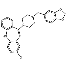 Clc1ccc2c(c1)N=C(N1CCN(Cc3ccc4c(c3)OCO4)CC1)c1ccccc1N2